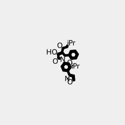 CC(C)CC(=O)C1=C(O)C(=O)N(c2ccc(-c3ccon3)cc2)C1c1ccccc1OC(C)C